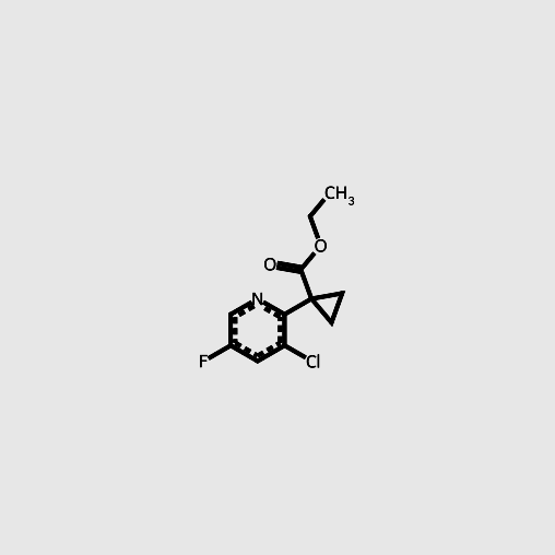 CCOC(=O)C1(c2ncc(F)cc2Cl)CC1